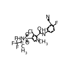 C[C@@H](NS(=O)(=O)c1cn(C)c(C(=O)Nc2ccc(F)c(C#N)c2)c1Cl)C(F)(F)F